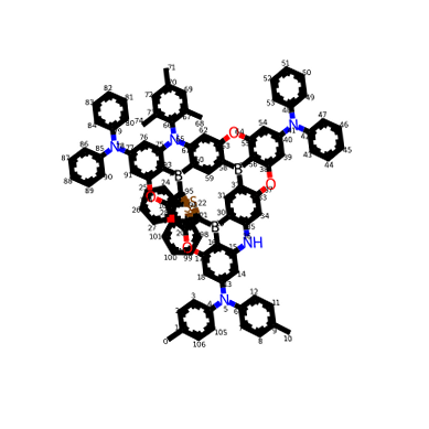 Cc1ccc(N(c2ccc(C)cc2)c2cc3c4c(c2)Oc2c(sc5ccccc25)B4c2cc4c(cc2N3)Oc2cc(N(c3ccccc3)c3ccccc3)cc3c2B4c2cc4c(cc2O3)N(c2c(C)cc(C)cc2C)c2cc(N(c3ccccc3)c3ccccc3)cc3c2B4c2sc4ccccc4c2O3)cc1